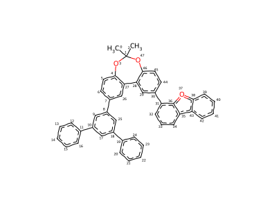 CC1(C)Oc2ccc(-c3cc(-c4ccccc4)cc(-c4ccccc4)c3)cc2-c2cc(-c3cccc4c3oc3ccccc34)ccc2O1